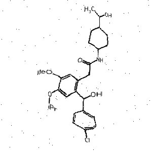 COc1cc(CC(=O)NC2CCC(C(C)O)CC2)c(C(O)c2ccc(Cl)cc2)cc1OC(C)C